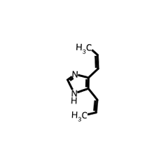 C/C=C\c1nc[nH]c1/C=C\C